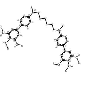 COc1cc(-c2ccc(N(C)CCCCCCN(C)c3ccc(-c4cc(OC)c(OC)c(OC)c4)nc3)cn2)cc(OC)c1OC